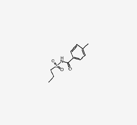 CCCS(=O)(=O)NC(=O)c1ccc(C)cc1